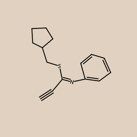 C#CC(=Nc1ccccc1)SCC1CCCC1